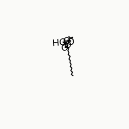 C=C(C)C(=O)OC(OC(=O)CCCCCCCCCCCCCCC)C(C)O